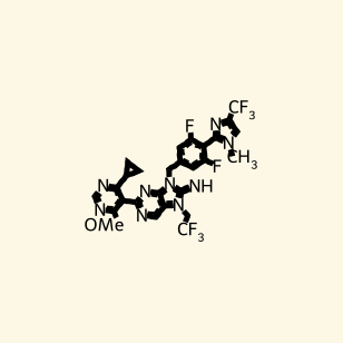 COc1ncnc(C2CC2)c1-c1ncc2c(n1)n(Cc1cc(F)c(-c3nc(C(F)(F)F)cn3C)c(F)c1)c(=N)n2CC(F)(F)F